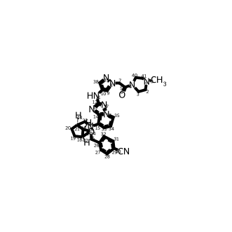 CN1CCN(C(=O)Cn2cc(Nc3nc4c(N5C[C@H]6CC[C@@H](C5)[C@H]6OCc5ccc(C#N)cc5)cccn4n3)cn2)CC1